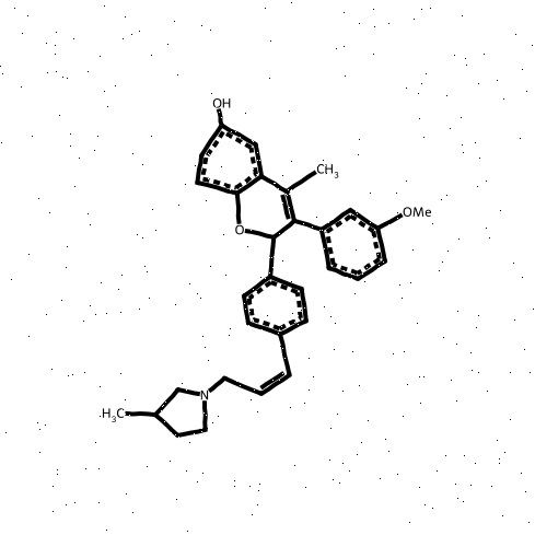 COc1cccc(C2=C(C)c3cc(O)ccc3OC2c2ccc(/C=C\CN3CCC(C)C3)cc2)c1